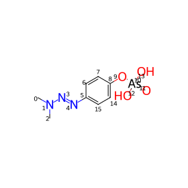 CN(C)N=Nc1ccc(O[As](=O)(O)O)cc1